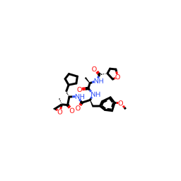 COc1ccc(C[C@H](NC(=O)[C@@H](C)NC(=O)[C@@H]2CCOC2)C(=O)N[C@@H](CC2CCCC2)C(=O)[C@]2(C)CO2)cc1